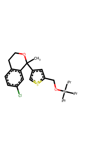 CC(C)[Si](OCc1cc(C2(C)OCCc3ccc(Cl)cc32)cs1)(C(C)C)C(C)C